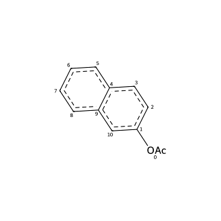 [CH2]C(=O)Oc1ccc2ccccc2c1